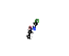 O=C(NCCc1ccc(Cl)cc1)c1ccc(-c2ccccc2)cc1